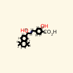 CC1(C)CCC(C)(C)c2cc(C(O)/C=C/c3ccc(C(=O)O)c(O)c3)ccc21